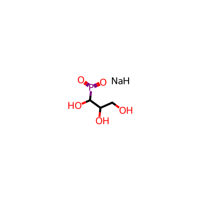 O=P(=O)C(O)C(O)CO.[NaH]